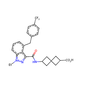 CCn1nc(C(=O)NC2CC3(C2)CC(C(=O)O)C3)c2c(Cc3ccc(C(F)(F)F)cc3)cccc21